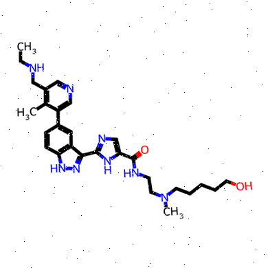 CCNCc1cncc(-c2ccc3[nH]nc(-c4ncc(C(=O)NCCN(C)CCCCCO)[nH]4)c3c2)c1C